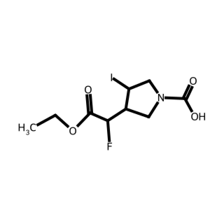 CCOC(=O)C(F)C1CN(C(=O)O)CC1I